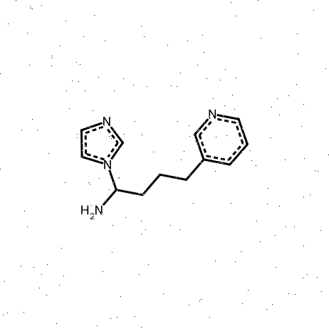 NC(CCCc1cccnc1)n1ccnc1